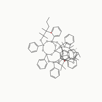 CCCC(C)(C)[Si](C)(C)O[Si]1(c2ccccc2)O[Si]2(c3ccccc3)O[Si]3(c4ccccc4)O[Si](O[Si](C)(C)C)(c4ccccc4)O[Si]4(c5ccccc5)O[Si](c5ccccc5)(O1)O[Si](c1ccccc1)(O2)O[Si](C)(C)C(C)(C)[C@@](C)(CC)[Si](C)(C)O[Si](c1ccccc1)(O3)O4